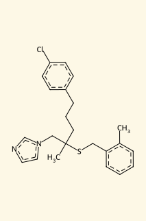 Cc1ccccc1CSC(C)(CCCc1ccc(Cl)cc1)Cn1ccnc1